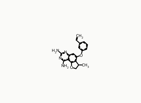 C=Cc1cccc(Oc2cc3nc(N)nc(N)c3c3c2C(C)CO3)c1